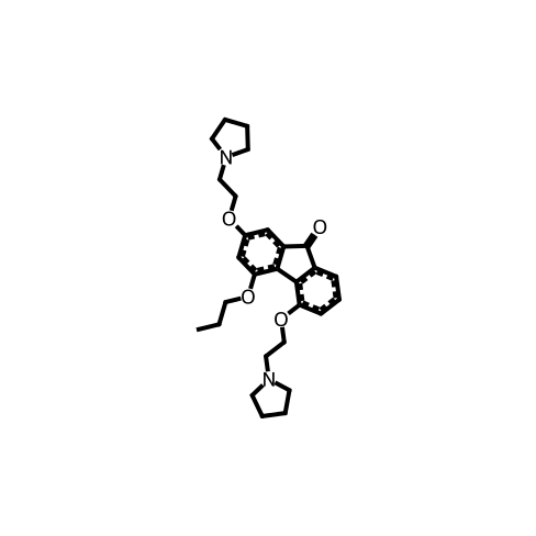 CCCOc1cc(OCCN2CCCC2)cc2c1-c1c(OCCN3CCCC3)cccc1C2=O